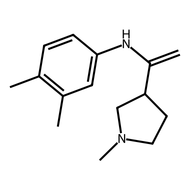 C=C(Nc1ccc(C)c(C)c1)C1CCN(C)C1